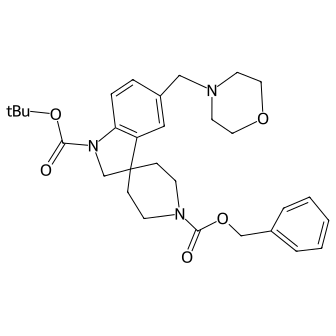 CC(C)(C)OC(=O)N1CC2(CCN(C(=O)OCc3ccccc3)CC2)c2cc(CN3CCOCC3)ccc21